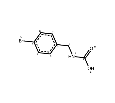 O=C(O)NCc1ccc(Br)cc1